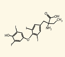 CCC(N)(Cc1cc(I)c(Oc2cc(I)c(O)c(I)c2)c(I)c1)C(=O)O